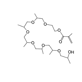 C=C(C)C(=O)OCCOCC(C)OCC(C)OCC(C)OCC(C)OCC(C)OCC(C)O